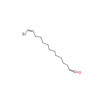 CC/C=C\CCCCCCCCCCC=C=O